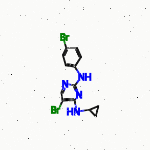 Brc1ccc(Nc2ncc(Br)c(NC3CC3)n2)cc1